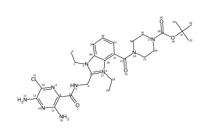 CCn1c(CNC(=O)c2nc(Cl)c(N)nc2N)[n+](CC)c2c(C(=O)N3CCN(C(=O)OC(C)(C)C)CC3)cccc21